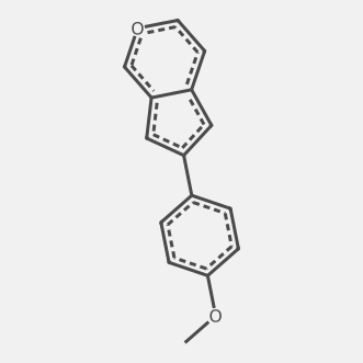 COc1ccc(-c2cc3ccocc-3c2)cc1